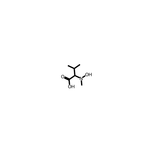 CC(C)C(C(=O)O)N(C)O